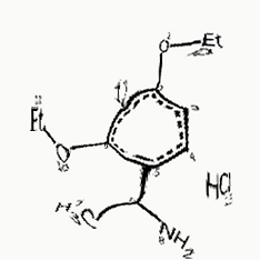 CCOc1ccc(C(C)N)c(OCC)c1.Cl